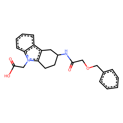 O=C(O)Cn1c2c(c3ccccc31)CC(NC(=O)COCc1ccccc1)CC2